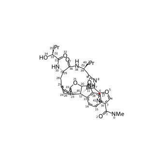 CNC(=O)c1coc(-c2nc3oc2[C@@]24c5ccccc5NC2Oc2ccc(cc24)C[C@H](NC(=O)[C@@H](O)C(C)C)C(=O)N[C@H]3C(C)C)n1